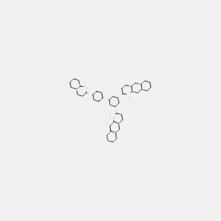 c1ccc2cc3nc(-c4cc(-c5ccc(-c6ccc7ccccc7n6)cc5)cc(-c5ccc6cc7ccccc7cc6n5)c4)ccc3cc2c1